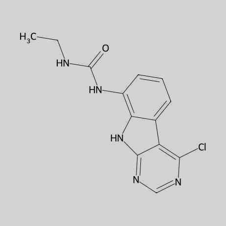 CCNC(=O)Nc1cccc2c1[nH]c1ncnc(Cl)c12